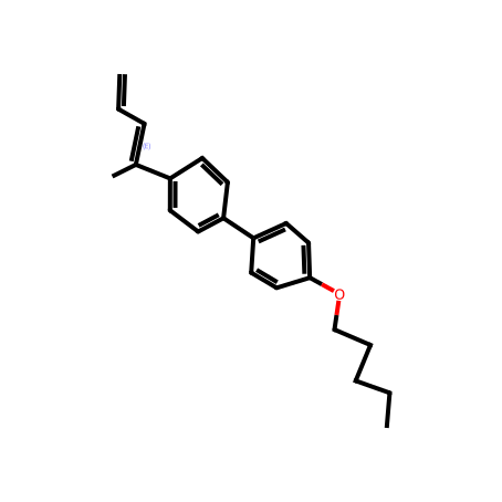 C=C/C=C(\C)c1ccc(-c2ccc(OCCCCC)cc2)cc1